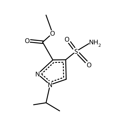 COC(=O)c1nn(C(C)C)cc1S(N)(=O)=O